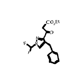 CCOC(=O)CC(=O)c1nn(C(F)F)cc1Cc1ccccc1